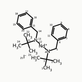 CC(C)(C)[N](Cc1ccccc1)[Nd+][N](Cc1ccccc1)C(C)(C)C.[I-]